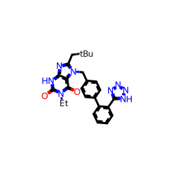 CCn1c(=O)[nH]c2nc(CC(C)(C)C)n(Cc3ccc(-c4ccccc4-c4nnn[nH]4)cc3)c2c1=O